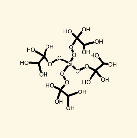 OC(O)C(O)(O)OO[Si](OOC(O)(O)C(O)O)(OOC(O)(O)C(O)O)OOC(O)(O)C(O)O